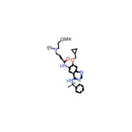 CCN(CC=CC(=O)Nc1cc2c(N[C@H](C)c3ccccc3)ncnc2cc1OCC1CC1)CCOC